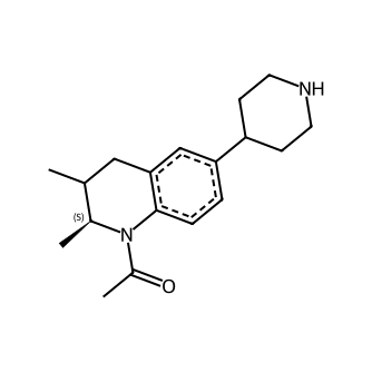 CC(=O)N1c2ccc(C3CCNCC3)cc2CC(C)[C@@H]1C